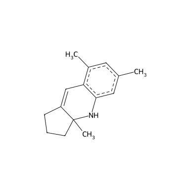 Cc1cc(C)c2c(c1)NC1(C)CCCC1=C2